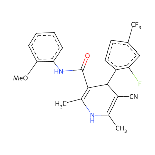 COc1ccccc1NC(=O)C1=C(C)NC(C)=C(C#N)C1c1ccc(C(F)(F)F)cc1F